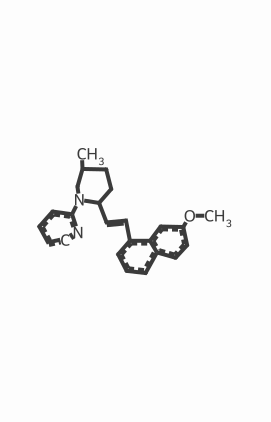 COc1ccc2cccc(/C=C/C3CCC(C)CN3c3ccccn3)c2c1